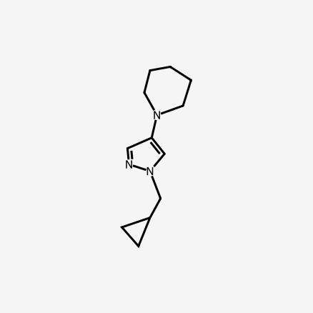 c1nn(CC2CC2)cc1N1CCCCC1